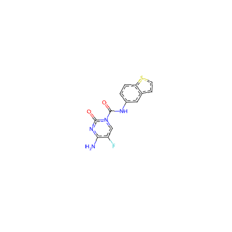 Nc1nc(=O)n(C(=O)Nc2ccc3sccc3c2)cc1F